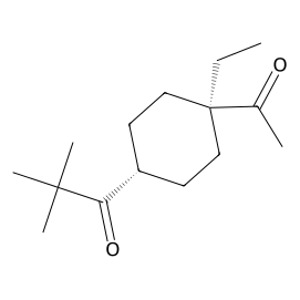 CC[C@]1(C(C)=O)CC[C@H](C(=O)C(C)(C)C)CC1